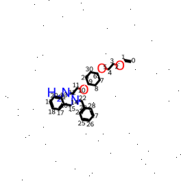 C=COCCO[C@H]1CC[C@H](OCC(N)N(Cc2ccccc2)Cc2ccccc2)CC1